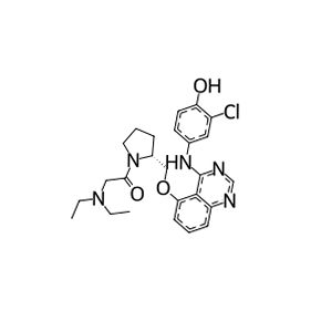 CCN(CC)CC(=O)N1CCC[C@@H]1COc1cccc2ncnc(Nc3ccc(O)c(Cl)c3)c12